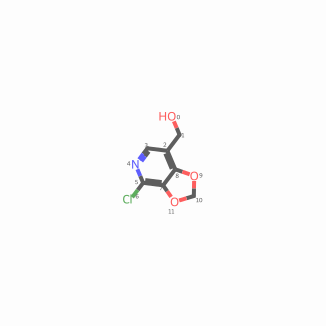 OCc1cnc(Cl)c2c1OCO2